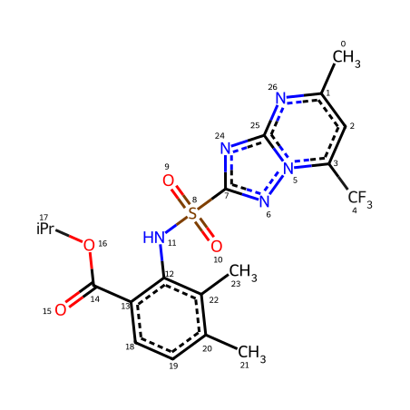 Cc1cc(C(F)(F)F)n2nc(S(=O)(=O)Nc3c(C(=O)OC(C)C)ccc(C)c3C)nc2n1